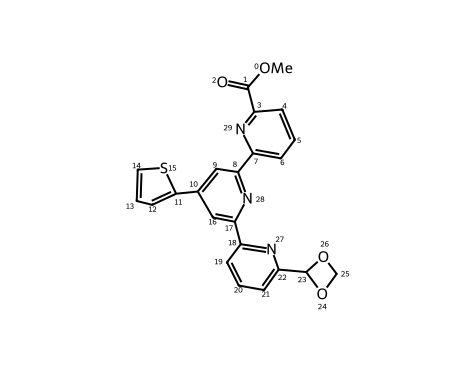 COC(=O)c1cccc(-c2cc(-c3cccs3)cc(-c3cccc(C4OCO4)n3)n2)n1